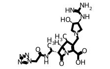 CC(NC(=O)Cn1cnnn1)[C@H]1C(=O)N2C(C(=O)O)=C(CN3C[C@H](NC(=N)N)[C@@H](O)C3)[C@H](C)[C@H]12